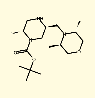 C[C@@H]1CN[C@@H](CN2[C@H](C)COC[C@H]2C)CN1C(=O)OC(C)(C)C